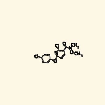 CON(C)C(=O)c1ccc(Oc2ccc(Cl)cc2)nc1Cl